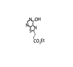 CCOC(=O)CCc1nc2c(O)ncnc2s1